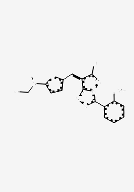 CCC(C)CN(C)c1ccc(/C=c2/c(C(C)(C)C)nn3c(-c4ccccc4OC)nnc23)s1